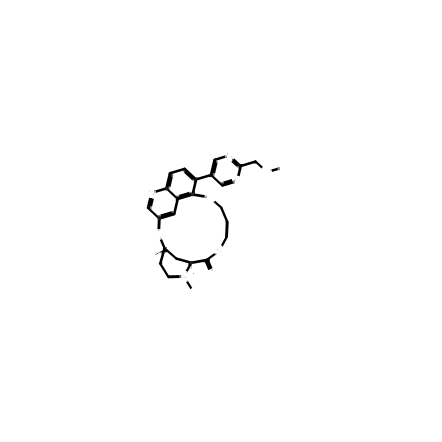 CCCOCc1ncc(-c2ccc3ncc4cc3c2OCCCNC(=O)[C@@H]2C[C@H](CCN2C)O4)cn1